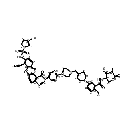 N#Cc1c(NS(=O)(=O)N2CC[C@@H](F)C2)ccc(F)c1Oc1ccc2ncn(-c3cnc(N4CCN(CC5CCN(c6ccc(F)c(C(=O)NC7CCC(=O)NC7=O)c6)CC5)CC4)nc3)c(=O)c2c1